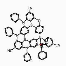 N#Cc1cc2c3c(c1)N(c1ccccc1)c1cc4c(cc1B3c1ccccc1O2)B1c2cc3c(cc2N(c2ccccc2)c2cc(C#N)cc(c21)N4c1ccccc1)N(c1ccccc1)c1cc(C#N)cc2c1B3c1ccccc1O2